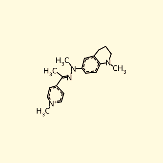 C/C(=N\N(C)c1ccc2c(c1)CCCN2C)c1cc[n+](C)cc1